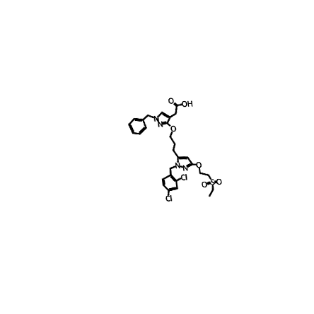 CCS(=O)(=O)CCOc1cc(CCCOc2nn(Cc3ccccc3)cc2CC(=O)O)n(Cc2ccc(Cl)cc2Cl)n1